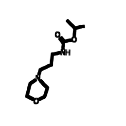 CC(C)OC(=O)NCCCN1CCOCC1